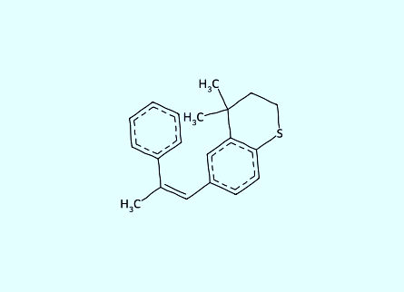 CC(=Cc1ccc2c(c1)C(C)(C)CCS2)c1ccccc1